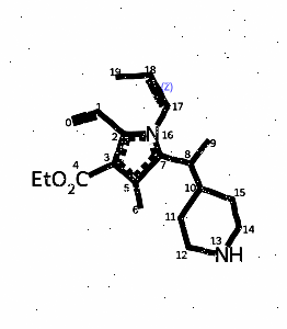 C=Cc1c(C(=O)OCC)c(C)c(C(C)C2CCNCC2)n1/C=C\C